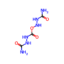 NC(=O)NNOC(=O)NNC(N)=O